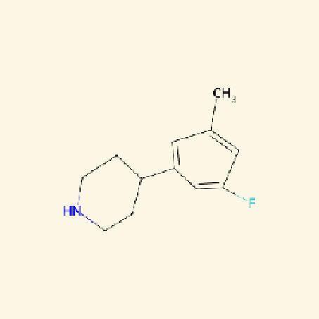 Cc1cc(F)cc(C2CCNCC2)c1